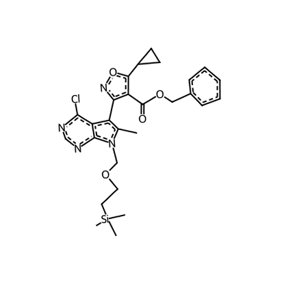 Cc1c(-c2noc(C3CC3)c2C(=O)OCc2ccccc2)c2c(Cl)ncnc2n1COCC[Si](C)(C)C